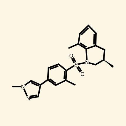 Cc1cc(-c2cnn(C)c2)ccc1S(=O)(=O)N1C[C@H](C)Cc2cccc(C)c21